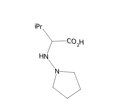 CC(C)C(NN1CCCC1)C(=O)O